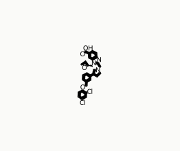 O=C(O)c1ccc2nc(CN3CCC(c4cccc(COc5ccc(Cl)cc5Cl)c4)C3)n(C[C@@H]3CCO3)c2c1